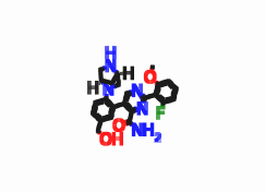 COc1cccc(F)c1-c1ncc(-c2cc(CO)ccc2N2C[C@H]3C[C@@H]2CN3)c(C(N)=O)n1